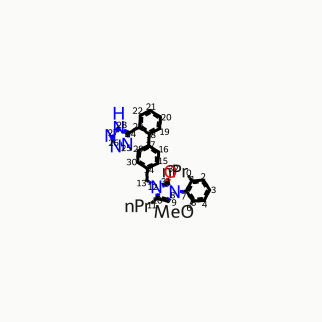 CCCc1cccc(OC)c1-n1cc(CCC)n(Cc2ccc(-c3ccccc3-c3nnn[nH]3)cc2)c1=O